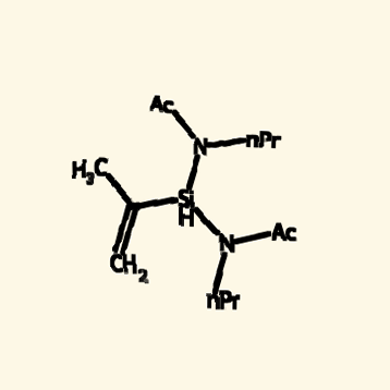 C=C(C)[SiH](N(CCC)C(C)=O)N(CCC)C(C)=O